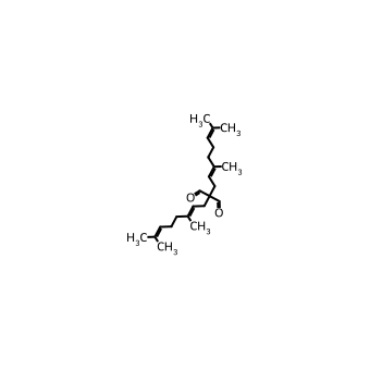 CC(C)=CCC/C(C)=C/CC(C=O)(C=O)C/C=C(\C)CCC=C(C)C